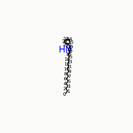 CCCCCCCCCCCCCCCCC=CNCc1ccccc1